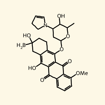 BC1(O)CCc2c(c(O)c3c(c2OC2CC(N4C=CCC4)C(O)C(C)O2)C(=O)c2c(OC)cccc2C3=O)C1